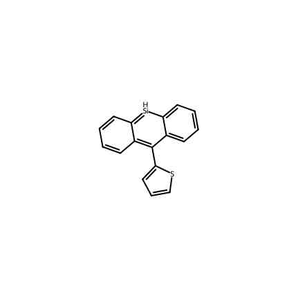 c1csc(-c2c3ccccc3[siH]c3ccccc23)c1